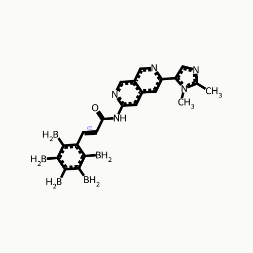 Bc1c(B)c(B)c(/C=C/C(=O)Nc2cc3cc(-c4cnc(C)n4C)ncc3cn2)c(B)c1B